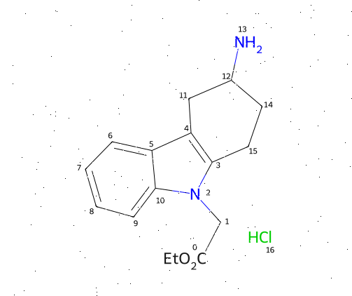 CCOC(=O)Cn1c2c(c3ccccc31)CC(N)CC2.Cl